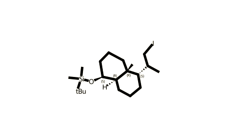 CC(CI)[C@@H]1CCC[C@H]2[C@@H](O[Si](C)(C)C(C)(C)C)CCC[C@]12C